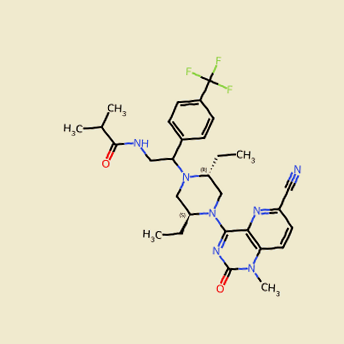 CC[C@H]1CN(C(CNC(=O)C(C)C)c2ccc(C(F)(F)F)cc2)[C@H](CC)CN1c1nc(=O)n(C)c2ccc(C#N)nc12